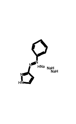 [NaH].[NaH].[NaH].c1ccc(N=Nc2cc[nH]n2)cc1